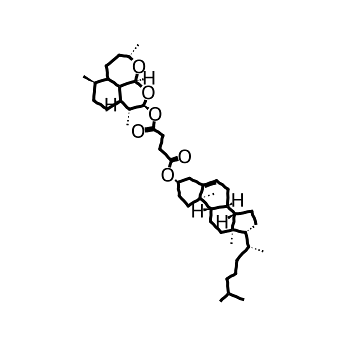 CC(C)CCC[C@@H](C)[C@H]1CC[C@H]2[C@@H]3CC=C4C[C@@H](OC(=O)CCC(=O)O[C@@H]5O[C@@H]6O[C@@H](C)CCC7C6[C@@H](CC[C@H]7C)[C@H]5C)CC[C@]4(C)[C@H]3CC[C@]12C